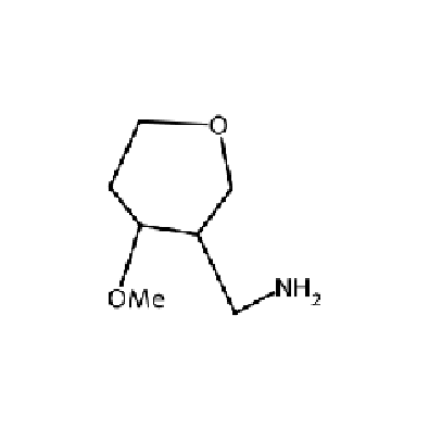 COC1CCOCC1CN